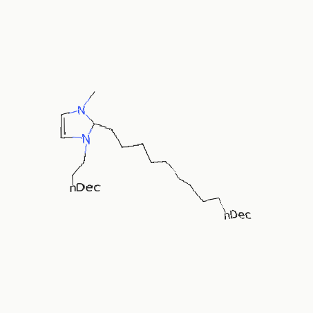 CCCCCCCCCCCCCCCCCCCC1N(C)C=CN1CCCCCCCCCCCC